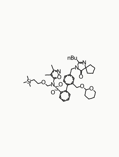 CCCCC1=NC2(CCCC2)C(=O)N1Cc1ccc(-c2ccccc2S(=O)(=O)N(COCC[Si](C)(C)C)c2onc(C)c2C)c(COC2CCCCO2)c1